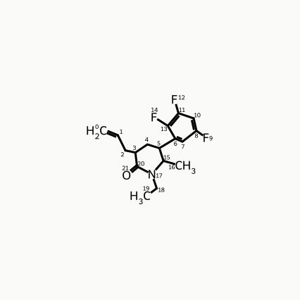 C=CCC1CC(c2cc(F)cc(F)c2F)C(C)N(CC)C1=O